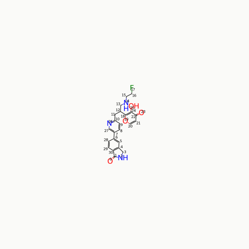 O=C1NCc2cc(-c3ccc(CC(CNCCF)c4occc(=O)c4O)nc3)ccc21